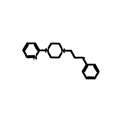 [CH](CCN1CCN(c2ccccn2)CC1)c1ccccc1